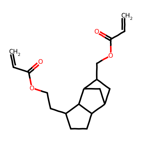 C=CC(=O)OCCC1CCC2C3CC(COC(=O)C=C)C(C3)C12